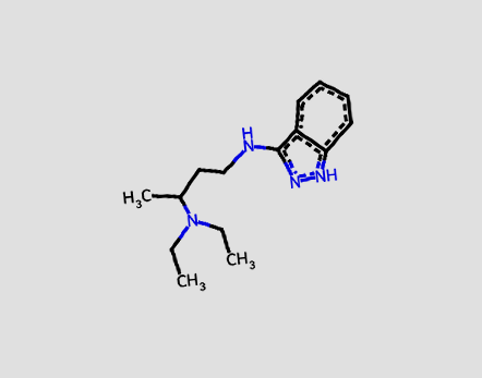 CCN(CC)C(C)CCNc1n[nH]c2ccccc12